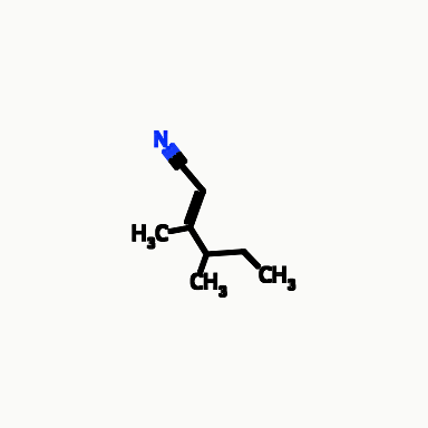 CCC(C)/C(C)=C/C#N